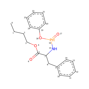 CCCCOC(=O)C(Cc1ccccc1)N[PH](=O)Oc1ccccc1